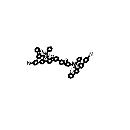 N#Cc1ccc(-c2ccc(-c3ccc4c(oc5ccccc54)c3-c3nc(-c4ccccc4)nc(-c4ccc5c(c4)oc4cc(-c6ccc7oc8c(-c9nc(-c%10ccccc%10)nc(-c%10cccc%11c%10oc%10ccccc%10%11)n9)c(-c9ccc(-c%10ccc(C#N)cc%10)cc9)ccc8c7c6)ccc45)n3)cc2)cc1